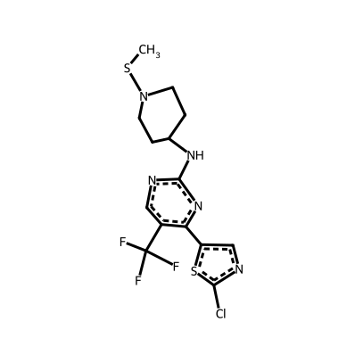 CSN1CCC(Nc2ncc(C(F)(F)F)c(-c3cnc(Cl)s3)n2)CC1